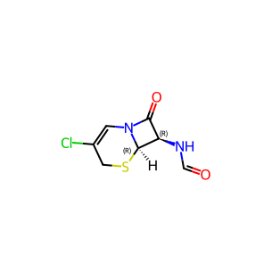 O=CN[C@@H]1C(=O)N2C=C(Cl)CS[C@H]12